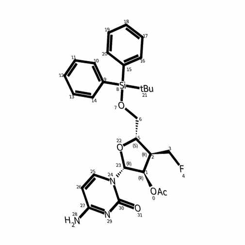 CC(=O)O[C@@H]1[C@H](CF)[C@@H](CO[Si](c2ccccc2)(c2ccccc2)C(C)(C)C)O[C@H]1n1ccc(N)nc1=O